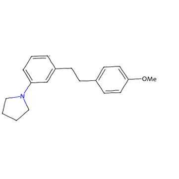 COc1ccc(CCc2[c]ccc(N3CCCC3)c2)cc1